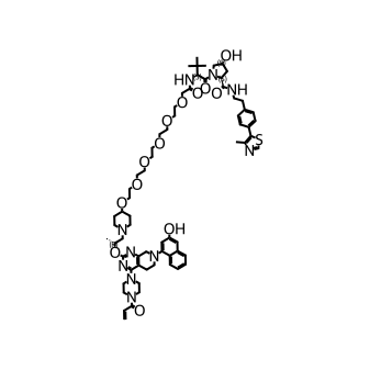 C=CC(=O)N1CCN(c2nc(O[C@H](C)CN3CCC(OCCOCCOCCOCCOCCOCC(=O)N[C@H](C(=O)N4C[C@@H](O)C[C@H]4C(=O)NCCc4ccc(-c5scnc5C)cc4)C(C)(C)C)CC3)nc3c2CCN(c2cc(O)cc4ccccc24)C3)CC1